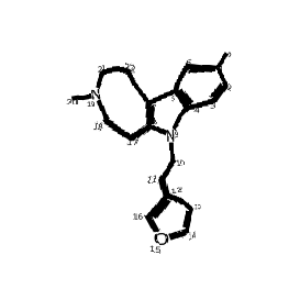 Cc1ccc2c(c1)c1c(n2CCc2ccoc2)CCN(C)CC1